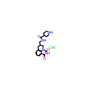 Cl.O=C(NCC1Cc2cccc3c(=O)[nH]c(=O)n(c23)C1)C1CCNCC1